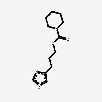 O=C(OCCCc1c[nH]cn1)N1CCCCC1